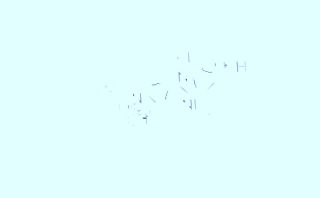 CCn1c(-c2ccc(N(CCOC)S(C)(=O)=O)cc2)c(N)c2ccc(OC)cc21